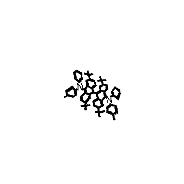 Cc1ccc(N(c2ccccc2)c2c3ccc(C(C)(C)C)cc3c(-c3c4cc(C(C)(C)C)ccc4c(N(c4ccccc4)c4ccc(C)cc4)c4cc(C(C)(C)C)ccc34)c3ccc(C(C)(C)C)cc23)cc1